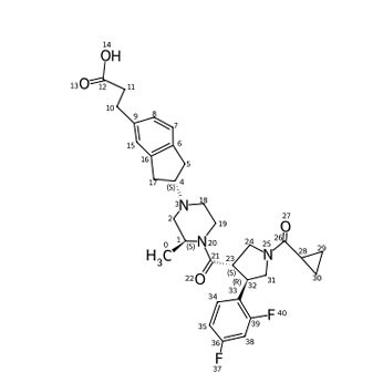 C[C@H]1CN([C@H]2Cc3ccc(CCC(=O)O)cc3C2)CCN1C(=O)[C@@H]1CN(C(=O)C2CC2)C[C@H]1c1ccc(F)cc1F